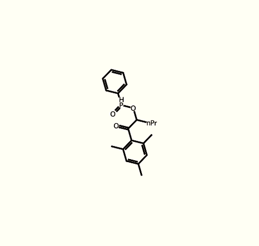 CCCC(O[PH](=O)c1ccccc1)C(=O)c1c(C)cc(C)cc1C